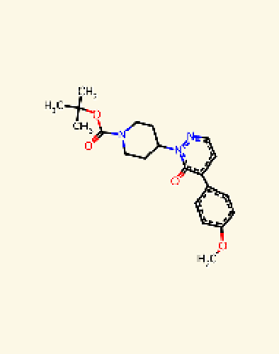 COc1ccc(-c2ccnn(C3CCN(C(=O)OC(C)(C)C)CC3)c2=O)cc1